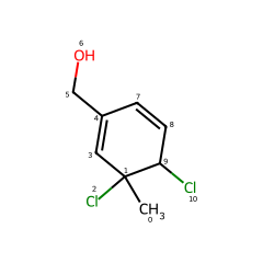 CC1(Cl)C=C(CO)C=CC1Cl